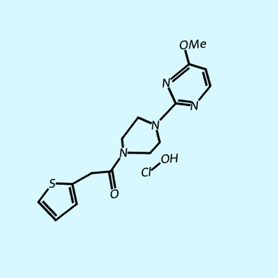 COc1ccnc(N2CCN(C(=O)Cc3cccs3)CC2)n1.OCl